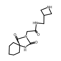 O=C(CN1C(=O)NC2(CCCCC2)C1=O)NCC1CNC1